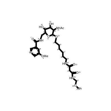 COc1cncc(C(=O)NCC2OC(OCCCCCCNC(=O)CC(=O)NCOC(C)C)C(NC(C)=O)C(O)C2O)c1